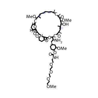 COCCOCCOCCOCCNC(=O)O[C@@H]1CC[C@@H](C[C@@H](N)[C@@H]2CC(=O)[C@H](C)/C=C(\C)[C@@H](O)[C@@H](OC)C(=O)[C@H](C)C[C@H](C)/C=C/C=C/C=C(\C)[C@@H](OC)C[C@@H]3CC[C@@H](C)[C@@](O)(O3)C(=O)C(=O)N3CCCC[C@H]3C(=O)O2)C[C@H]1OC